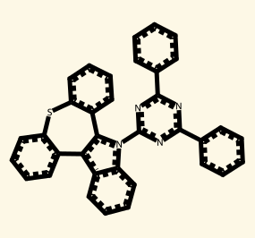 c1ccc(-c2nc(-c3ccccc3)nc(-n3c4c(c5ccccc53)-c3ccccc3Sc3ccccc3-4)n2)cc1